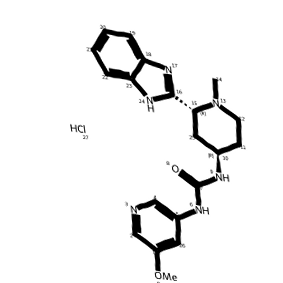 COc1cncc(NC(=O)N[C@@H]2CCN(C)[C@@H](c3nc4ccccc4[nH]3)C2)c1.Cl